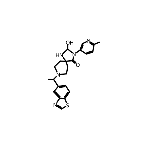 Cc1ccc(N2C(=O)C3(CCN(C(C)c4ccc5scnc5c4)CC3)NC2O)cn1